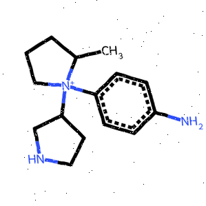 CC1CCC[N+]1(c1ccc(N)cc1)C1CCNC1